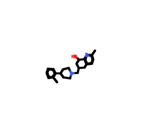 Cc1ccc2c(n1)C(O)CC(CN1CCC(c3ccccc3C)CC1)C2